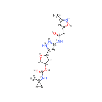 Cc1cc(CC(=O)Nc2cc(C3CC(OC(=O)NC4(C)CC4)CO3)[nH]n2)on1